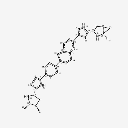 C[C@@H]1C[C@@H](c2ncc(-c3ccc(-c4ccc5nc(-c6c[nH]c([C@@H]7CC8C[C@H]8N7)n6)ccc5c4)cc3)[nH]2)N[C@@H]1C